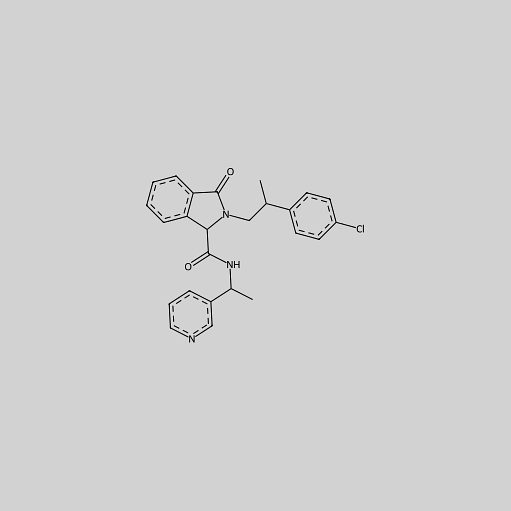 CC(CN1C(=O)c2ccccc2C1C(=O)NC(C)c1cccnc1)c1ccc(Cl)cc1